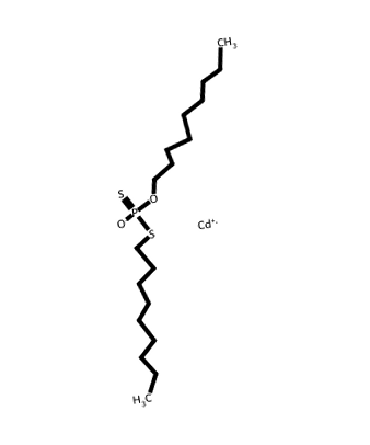 CCCCCCCCCOP([O-])(=S)SCCCCCCCCC.[Cd+]